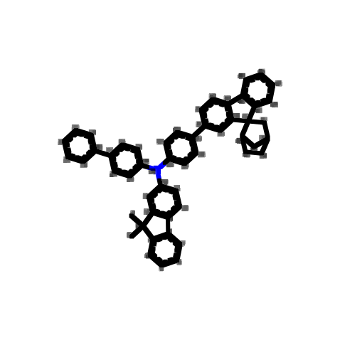 CC1(C)c2ccccc2-c2ccc(N(c3ccc(-c4ccccc4)cc3)c3ccc(-c4ccc5c(c4)C4(CC6CCC4C6)c4ccccc4-5)cc3)cc21